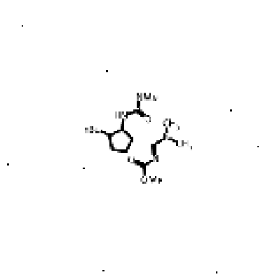 CCCCC1CCCC1NC(=O)NC.COC(=O)N=CN(C)C